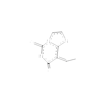 C/C=c1/c(=O)[nH]c(=O)n2ccnc12